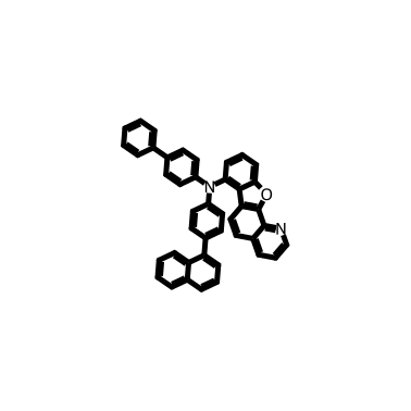 c1ccc(-c2ccc(N(c3ccc(-c4cccc5ccccc45)cc3)c3cccc4oc5c(ccc6cccnc65)c34)cc2)cc1